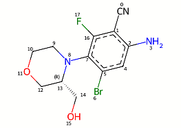 N#Cc1c(N)cc(Br)c(N2CCOC[C@H]2CO)c1F